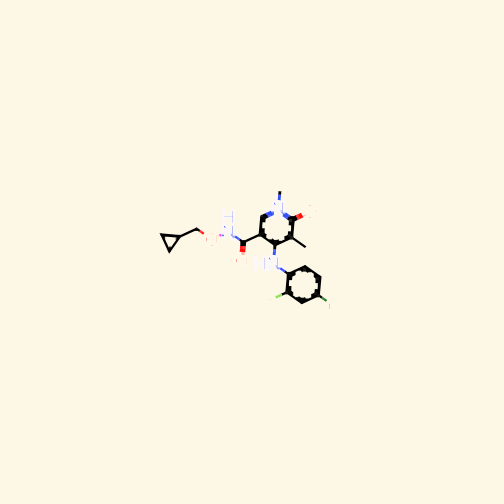 Cc1c(Nc2ccc(Cl)cc2F)c(C(=O)NOCC2CC2)cn(C)c1=O